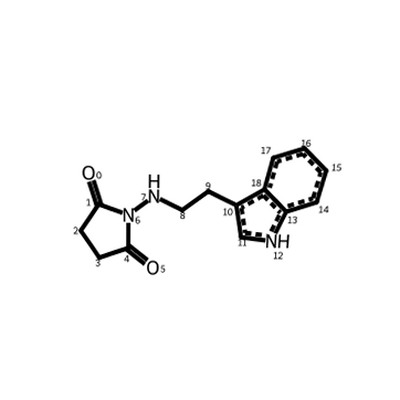 O=C1CCC(=O)N1NCCc1c[nH]c2ccccc12